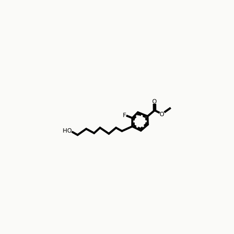 COC(=O)c1ccc(CCCCCCCO)c(F)c1